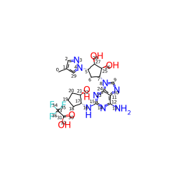 Cc1cnn([C@H]2C[C@@H](n3cnc4c(N)nc(N[C@@H]5CCC[C@H]5O)nc43)[C@H](O)[C@@H]2O)c1.O=C(O)C(F)(F)F